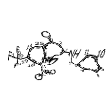 O=c1cc(NCc2ccccc2)sc2c([N+](=O)[O-])cc(C(F)(F)F)cc12